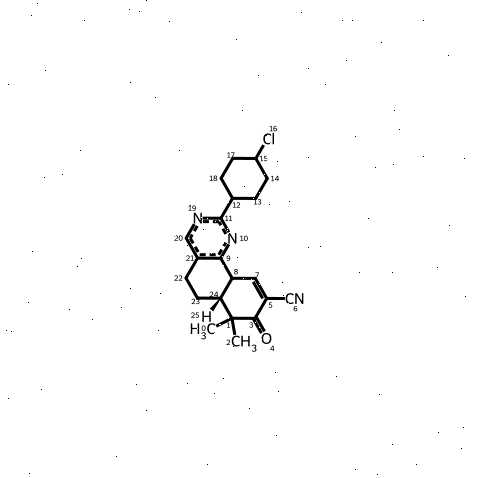 CC1(C)C(=O)C(C#N)=CC2c3nc(C4CCC(Cl)CC4)ncc3CC[C@H]21